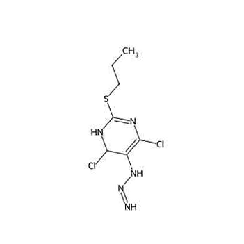 CCCSC1=NC(Cl)=C(NN=N)C(Cl)N1